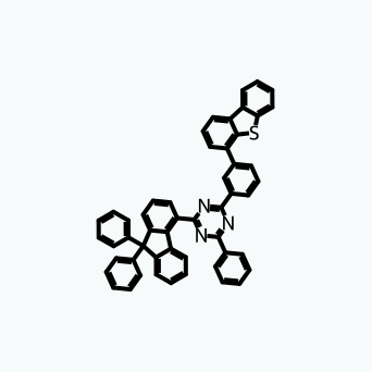 c1ccc(-c2nc(-c3cccc(-c4cccc5c4sc4ccccc45)c3)nc(-c3cccc4c3-c3ccccc3C4(c3ccccc3)c3ccccc3)n2)cc1